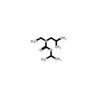 CCN(CC(C)C)C(=O)OC(C)C